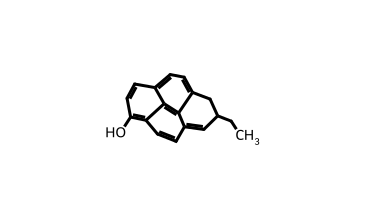 CCC1C=c2ccc3c(O)ccc4ccc(c2c43)C1